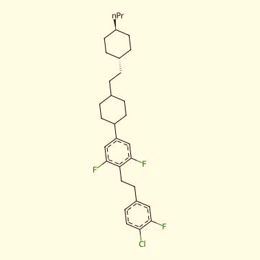 CCC[C@H]1CC[C@H](CCC2CCC(c3cc(F)c(CCc4ccc(Cl)c(F)c4)c(F)c3)CC2)CC1